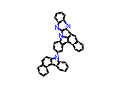 c1ccc2c(c1)ccc1c2c2ccccc2n1-c1ccc2c(c1)c1c3ccccc3cc3c4nc5ccccc5nc4n2c31